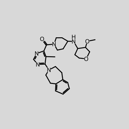 COC1COCCC1NC1CCN(C(=O)c2ncnc(N3CCc4ccccc4CC3)c2C)CC1